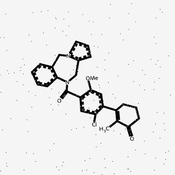 COc1cc(C2=C(C)C(=O)CCC2)c(Cl)cc1C(=O)N1Cc2cccn2Cc2ccccc21